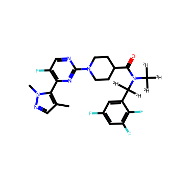 [2H]C([2H])([2H])N(C(=O)C1CCN(c2ncc(F)c(-c3c(C)cnn3C)n2)CC1)C([2H])([2H])c1cc(F)cc(F)c1F